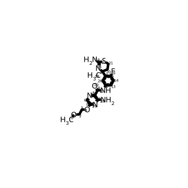 COCCOc1cnc(C(=O)Nc2ccc(F)c([C@]3(C)CCSC(N)=N3)c2)c(N)n1